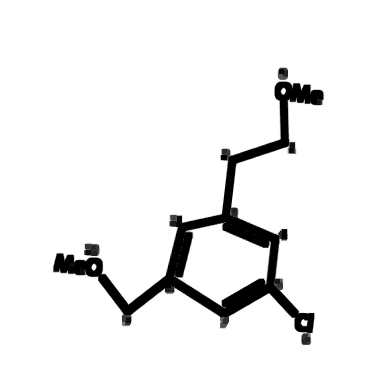 COCCc1cc(Cl)cc(COC)c1